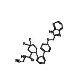 N#CCNC(=O)C1CC(F)(F)CCC1c1ccccc1-c1ccc(SCc2nc3ccccc3[nH]2)cc1